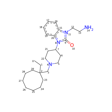 CCC1(CN2CCC(n3c(=O)n(CCN)c4ccccc43)CC2)CCCCCCC1